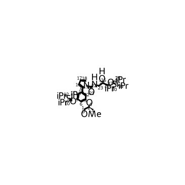 COC[C@H](C)Oc1cc(O[Si](C(C)C)(C(C)C)C(C)C)cc(-c2cccn2C(=O)NC[C@H](O)CO[Si](C(C)C)(C(C)C)C(C)C)c1